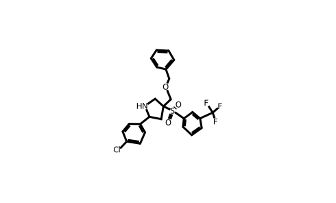 O=S(=O)(c1cccc(C(F)(F)F)c1)C1(COCc2ccccc2)CNC(c2ccc(Cl)cc2)C1